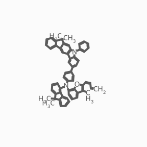 C=C/C=C\c1oc2c(N(c3ccc(-c4ccc5c(c4)c4cc6c(cc4n5-c4ccccc4)C(C)(C)c4ccccc4-6)cc3)c3cccc4c3-c3ccccc3C4(C)C)cccc2c1C